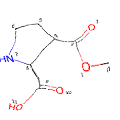 COC(=O)C1CCNC1C(=O)O